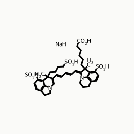 CC1(CCCCS(=O)(=O)O)C(/C=C/C=C/C=C2\N3CCCc4ccc(S(=O)(=O)O)c(c43)C2(C)CCCCCC(=O)O)=CN2CCc3ccc(S(=O)(=O)O)c1c32.[NaH]